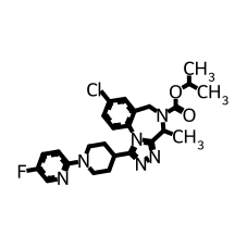 CC(C)OC(=O)N1Cc2cc(Cl)ccc2-n2c(C3CCN(c4ccc(F)cn4)CC3)nnc2C1C